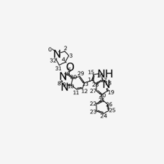 CN1CCC(Oc2ncnc3ccc(-c4c[nH]c5ncc(-c6ccccc6)cc45)cc23)CC1